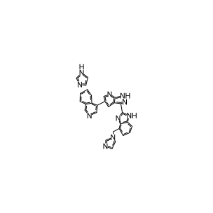 c1c[nH]cn1.c1ccc2c(-c3cnc4[nH]nc(-c5nc6c(Cn7ccnc7)cccc6[nH]5)c4c3)cncc2c1